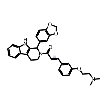 CN(C)CCOc1cccc(/C=C/C(=O)N2CCc3c([nH]c4ccccc34)C2c2ccc3c(c2)OCO3)c1